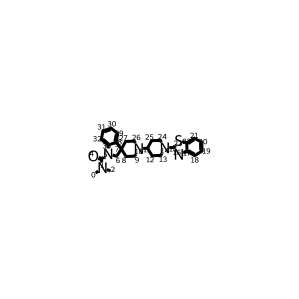 CN(C)C(=O)N1CC2(CCN(C3CCN(c4nc5ccccc5s4)CC3)CC2)c2ccccc21